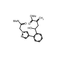 C=C(CC(O)c1ccccc1-c1cnn(CC(=O)NC)c1)C(=O)OC